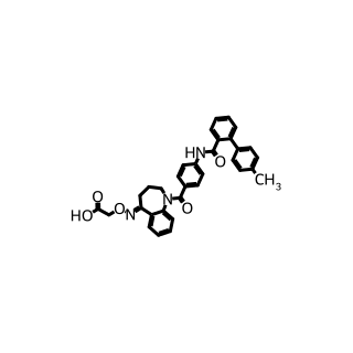 Cc1ccc(-c2ccccc2C(=O)Nc2ccc(C(=O)N3CCCC(=NOCC(=O)O)c4ccccc43)cc2)cc1